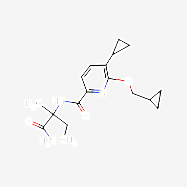 CCC(C)(NC(=O)c1ccc(C2CC2)c(OCC2CC2)n1)C(N)=O